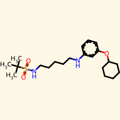 CC(C)(C)S(=O)(=O)NCCCCCNc1cccc(OC2CCCCC2)c1